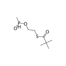 C[PH](=O)OCCSC(=O)C(C)(C)C